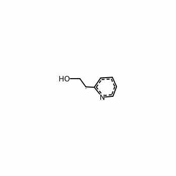 OC[CH]c1ccccn1